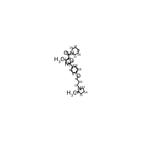 Cc1nc(-c2ccc(OCCCN3CCCC3C)cc2)oc1C(=O)N1CCCCC1